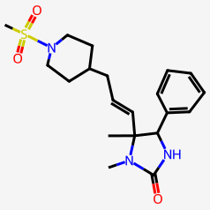 CN1C(=O)NC(c2ccccc2)C1(C)C=CCC1CCN(S(C)(=O)=O)CC1